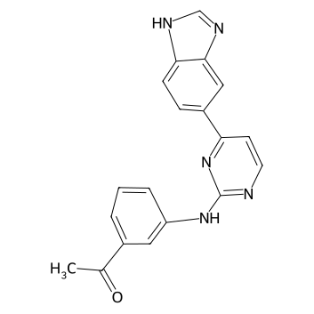 CC(=O)c1cccc(Nc2nccc(-c3ccc4[nH]cnc4c3)n2)c1